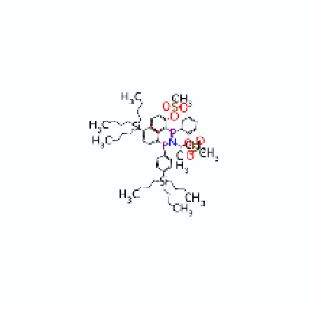 CCCC[Si](CCCC)(CCCC)c1ccc(P(c2ccc([Si](CCCC)(CCCC)CCCC)cc2)N(C(C)C)P(c2ccccc2OS(C)(=O)=O)c2ccccc2OS(C)(=O)=O)cc1